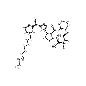 CC(C(=O)N[C@H](C(=O)N1CCCC1c1nc(C(=O)c2cccc(OCCOCCOCC=O)c2)cs1)C1CCCCC1)N(C)C(=O)O